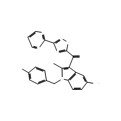 COc1ccc2c(c1)c(C(=O)c1nc(-c3ncccn3)no1)c(Cl)n2Cc1ccc(Cl)cc1